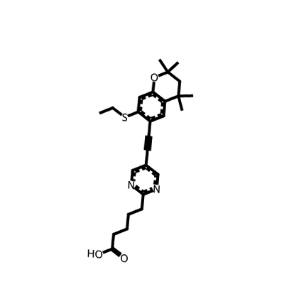 CCSc1cc2c(cc1C#Cc1cnc(CCCCC(=O)O)nc1)C(C)(C)CC(C)(C)O2